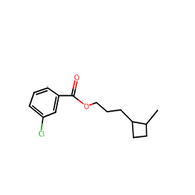 CC1CCC1CCCOC(=O)c1[c]ccc(Cl)c1